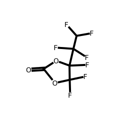 O=C1OC(F)(F)C(F)(C(F)(F)C(F)F)O1